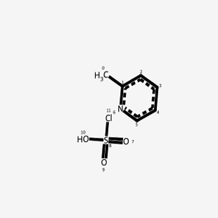 Cc1ccccn1.O=S(=O)(O)Cl